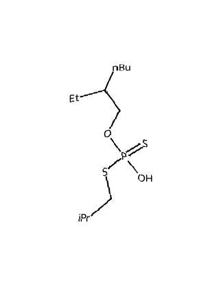 CCCCC(CC)COP(O)(=S)SCC(C)C